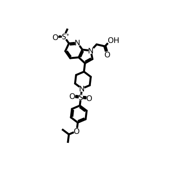 CC(C)Oc1ccc(S(=O)(=O)N2CCC(c3cn(CC(=O)O)c4nc([S+](C)[O-])ccc34)CC2)cc1